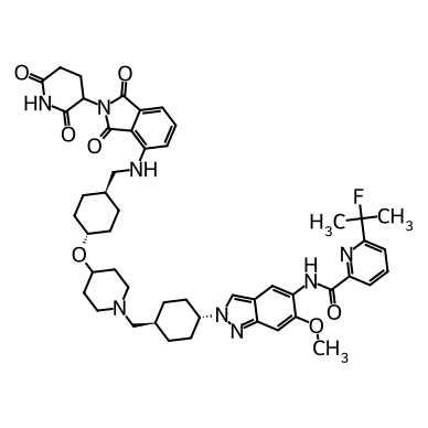 COc1cc2nn([C@H]3CC[C@H](CN4CCC(O[C@H]5CC[C@H](CNc6cccc7c6C(=O)N(C6CCC(=O)NC6=O)C7=O)CC5)CC4)CC3)cc2cc1NC(=O)c1cccc(C(C)(C)F)n1